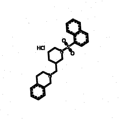 Cl.O=S(=O)(c1cccc2ccccc12)N1CCCC(CN2CCc3ccccc3C2)C1